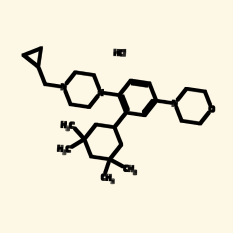 CC1(C)CC(c2cc(N3CCOCC3)ccc2N2CCN(CC3CC3)CC2)CC(C)(C)C1.Cl